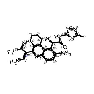 Cc1nnc(NC(=O)C(=N)c2c(N)ccc3nc(/C(=C/N)C(=N)C(F)(F)F)c4c(c23)CCCC4)s1